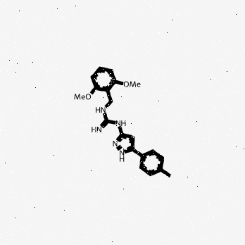 COc1cccc(OC)c1CNC(=N)Nc1cc(-c2ccc(C)cc2)[nH]n1